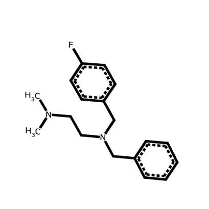 CN(C)CCN(Cc1ccccc1)Cc1ccc(F)cc1